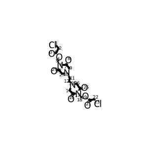 O=C(CCl)OCN1C(=O)CN(CCN2CC(=O)N(COC(=O)CCl)C(=O)C2)CC1=O